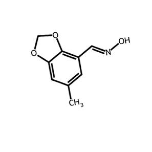 Cc1cc(/C=N/O)c2c(c1)OCO2